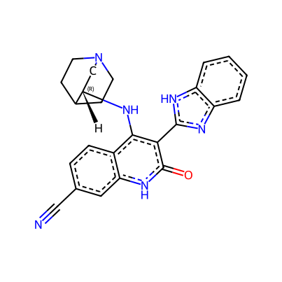 N#Cc1ccc2c(N[C@H]3CN4CCC3CC4)c(-c3nc4ccccc4[nH]3)c(=O)[nH]c2c1